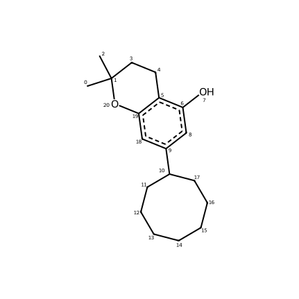 CC1(C)CCc2c(O)cc(C3CCCCCCC3)cc2O1